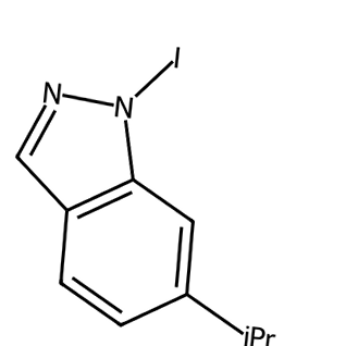 CC(C)c1ccc2cnn(I)c2c1